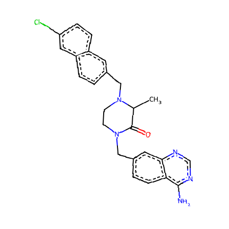 CC1C(=O)N(Cc2ccc3c(N)ncnc3c2)CCN1Cc1ccc2cc(Cl)ccc2c1